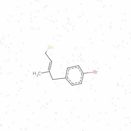 CC(=CCS)Cc1ccc(Br)cc1